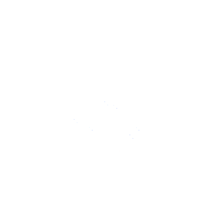 CCNc1cc2c(cn1)c(-c1cnn(C[C@@H](O)CO)c1)nn2C1CCC(Oc2cccc(C)c2F)CC1